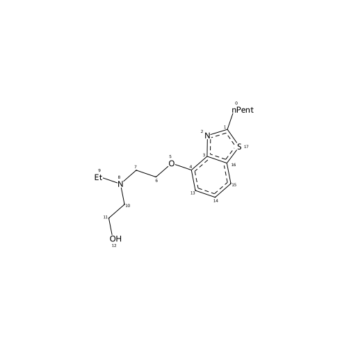 CCCCCc1nc2c(OCCN(CC)CCO)cccc2s1